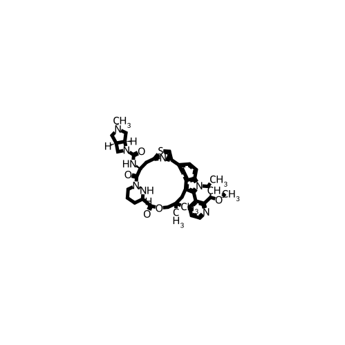 CCn1c(-c2cccnc2[C@H](C)OC)c2c3cc(ccc31)-c1csc(n1)C[C@H](NC(=O)N1C[C@H]3CN(C)C[C@H]31)C(=O)N1CCC[C@H](N1)C(=O)OCC(C)(C)C2